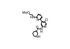 COCCNc1cccc(-c2cc(NC(=O)[C@@H]3CCCNC3)ncc2Cl)n1